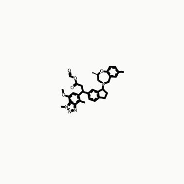 COc1cc(C(CC(=O)OC=O)c2ccc3c(c2)C(N2Cc4cc(C)ccc4O[C@H](C)C2)CC3)c(C)c2nnn(C)c12